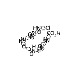 O=C(Cc1ccc(S(=O)(=O)N2CCC(n3nnc4ccccc43)CC2)s1)Nc1ccc(Cl)cc1.O=C(O)c1ccc2nn(C3CCN(S(=O)(=O)c4ccc(CNC(=O)c5ccc(Cl)cc5)s4)CC3)nc2c1